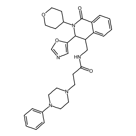 O=C(CCN1CCN(c2ccccc2)CC1)NCC1c2ccccc2C(=O)N(C2CCOCC2)C1c1cnco1